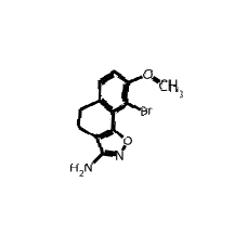 COc1ccc2c(c1Br)-c1onc(N)c1CC2